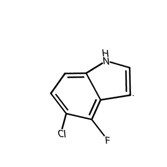 Fc1c(Cl)ccc2[nH]c[c]c12